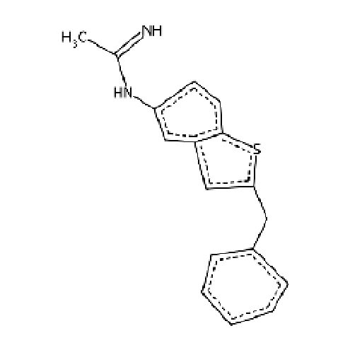 CC(=N)Nc1ccc2sc(Cc3ccccc3)cc2c1